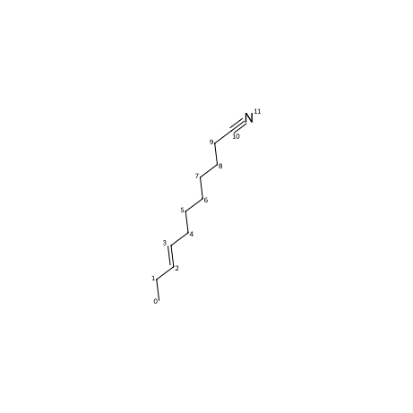 CCC=CCCCCCCC#N